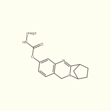 CCCCCCCNC(=O)Oc1ccc2c(c1)N=C1C3CCC(C3)N1C2